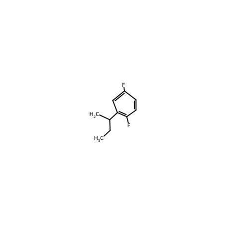 [CH2]C(CC)c1cc(F)ccc1F